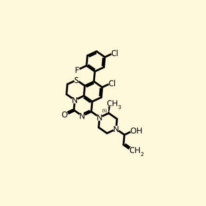 C=CC(O)N1CCN(c2nc(=O)n3c4c(c(-c5cc(Cl)ccc5F)c(Cl)cc24)SCC3)[C@@H](C)C1